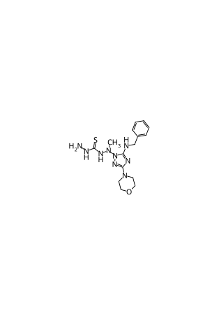 CN(NC(=S)NN)n1nc(N2CCOCC2)nc1NCc1ccccc1